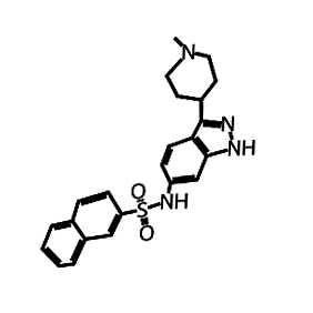 CN1CCC(c2n[nH]c3cc(NS(=O)(=O)c4ccc5ccccc5c4)ccc23)CC1